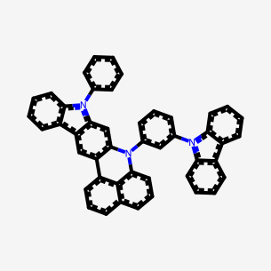 c1ccc(-n2c3ccccc3c3cc4c(cc32)N(c2cccc(-n3c5ccccc5c5ccccc53)c2)c2cccc3cccc-4c23)cc1